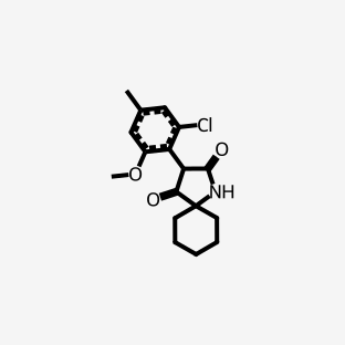 COc1cc(C)cc(Cl)c1C1C(=O)NC2(CCCCC2)C1=O